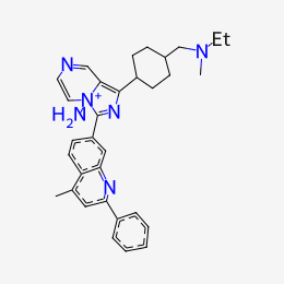 CCN(C)CC1CCC(C2=C3C=NC=C[N+]3(N)C(c3ccc4c(C)cc(-c5ccccc5)nc4c3)=N2)CC1